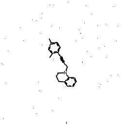 Cc1ccc(C#CCN2CCCc3ccccc32)c(C)c1